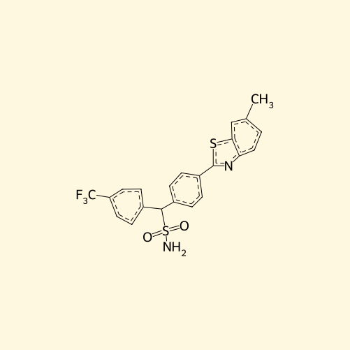 Cc1ccc2nc(-c3ccc(C(c4ccc(C(F)(F)F)cc4)S(N)(=O)=O)cc3)sc2c1